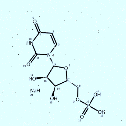 O=c1ccn([C@@H]2O[C@H](COP(=O)(O)O)[C@@H](O)[C@H]2O)c(=O)[nH]1.[NaH]